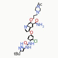 CC(=O)N1CCN(CCCOc2cc3nccc(Oc4ccc(NC(=O)Nc5cc(C(C)(C)C)n[nH]5)c(Cl)c4)c3cc2C(N)=O)CC1